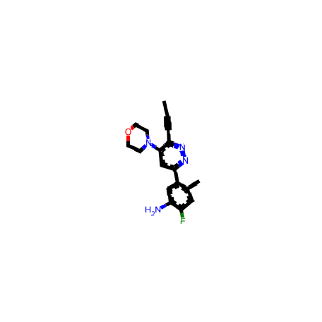 CC#Cc1nnc(-c2cc(N)c(F)cc2C)cc1N1CCOCC1